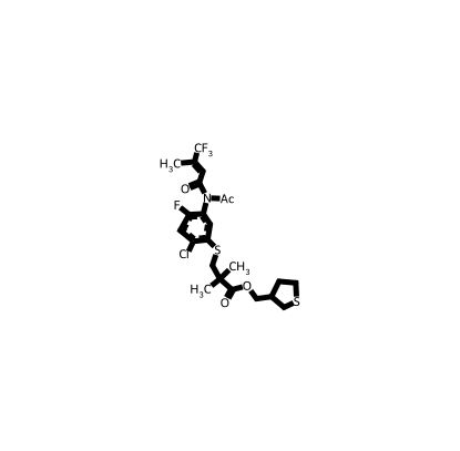 CC(=O)N(C(=O)/C=C(\C)C(F)(F)F)c1cc(SCC(C)(C)C(=O)OCC2CCSC2)c(Cl)cc1F